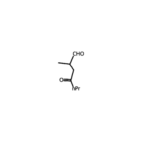 CCCC(=O)CC(C)C=O